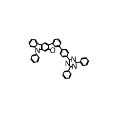 c1ccc(-c2nc(-c3ccccc3)nc(-c3ccc(-c4cccc5c4oc4cc6c(cc45)c4ccccc4n6-c4ccccc4)cc3)n2)cc1